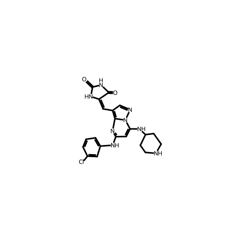 O=C1NC(=O)/C(=C\c2cnn3c(NC4CCNCC4)cc(Nc4cccc(Cl)c4)nc23)N1